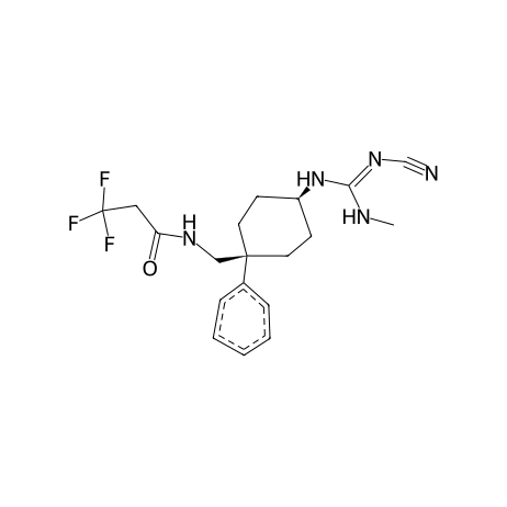 CN/C(=N\C#N)N[C@H]1CC[C@](CNC(=O)CC(F)(F)F)(c2ccccc2)CC1